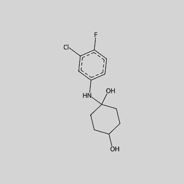 OC1CCC(O)(Nc2ccc(F)c(Cl)c2)CC1